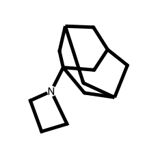 C1CN(C23CC4CC(CC(C4)C2)C3)C1